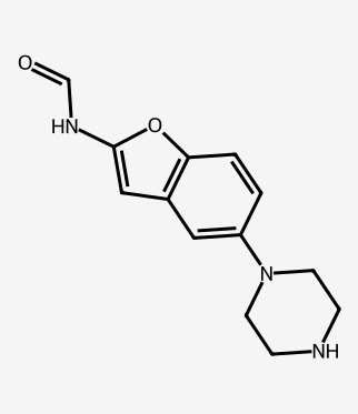 O=CNc1cc2cc(N3CCNCC3)ccc2o1